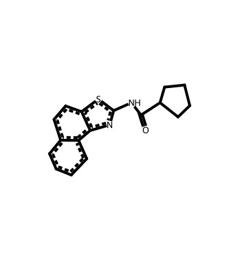 O=C(Nc1nc2c(ccc3ccccc32)s1)C1CCCC1